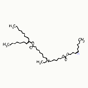 CCCCC/C=C\CCOC(=O)OCCCCCN(CC)CCCCCCCC(=O)OC(CCCCCCCC)CCCCCCCC